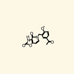 COc1ccc(C(C)=O)cc1Cn1ccc2oc(=O)[nH]c2c1=O